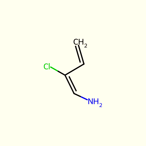 C=C/C(Cl)=C\N